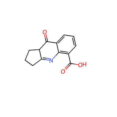 O=C(O)c1cccc2c1N=C1CCCC1C2=O